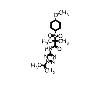 C=C(C)n1nnc(NC(=O)C(C)(C)S(=O)(=O)[C@H]2CC[C@@H](OC)CC2)n1